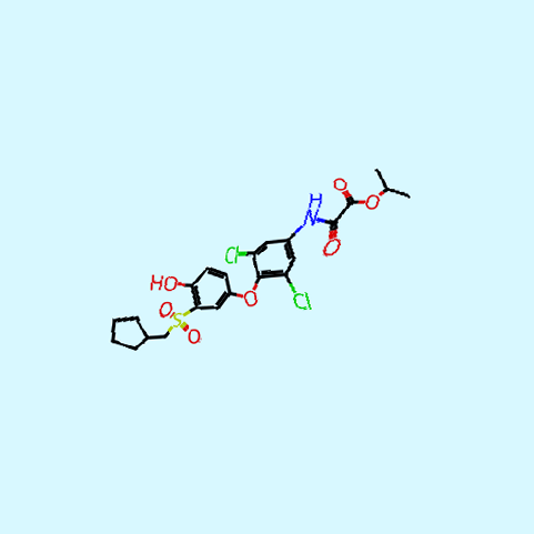 CC(C)OC(=O)C(=O)Nc1cc(Cl)c(Oc2ccc(O)c(S(=O)(=O)CC3CCCC3)c2)c(Cl)c1